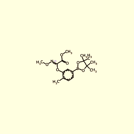 CO/N=C(\Oc1cc(B2OC(C)(C)C(C)(C)O2)ccc1C)C(=O)OC